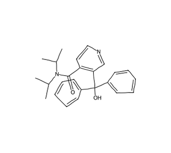 CC(C)N(C(=O)c1ccncc1C(O)(c1ccccc1)c1ccccc1)C(C)C